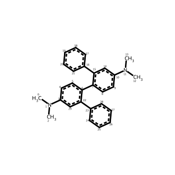 CN(C)c1ccc(-c2ccc(N(C)C)cc2-c2ccccc2)c(-c2ccccc2)c1